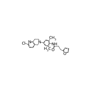 Cc1cc(N2CCc3nc(Cl)ccc3C2)cc(C)c1NC(=O)CCc1ccco1